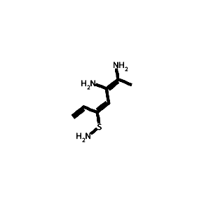 C=C/C(=C\C(N)=C(/C)N)SN